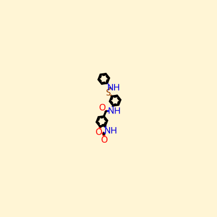 O=C(Nc1cccc(SNc2ccccc2)c1)c1ccc2oc(=O)[nH]c2c1